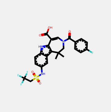 CC1(C)CN(C(=O)c2ccc(F)cc2)C=C(C(=O)O)c2[nH]c3ccc(NS(=O)(=O)CC(F)(F)F)cc3c21